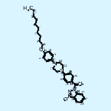 COCCCCCCCCOc1ccc(N2CCN(c3ccc(C(=O)n4n[n+]([O-])c5ccccc54)cc3)CC2)cc1